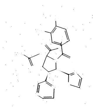 CNC(=O)C[C@@]1(C(=O)OC(C)(C)C)C[C@H](c2cnccn2)[C@H](c2nccs2)N1C(=O)c1ccc(C(C)(C)C)c(OC)c1